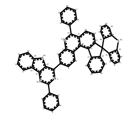 c1ccc(-c2nc(-c3ccc4c(c3)nc(-c3ccccc3)c3ccc5c(c34)-c3ccccc3C53c4ccccc4Sc4ccccc43)c3sc4ccccc4c3n2)cc1